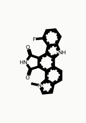 Cn1ccc2ccc3c4[nH]c5cccc(F)c5c4c4c(c3c21)C(=O)NC4=O